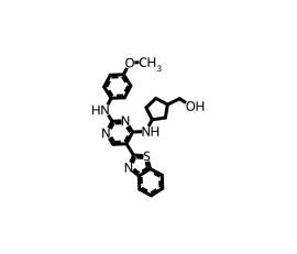 COc1ccc(Nc2ncc(-c3nc4ccccc4s3)c(NC3CCC(CO)C3)n2)cc1